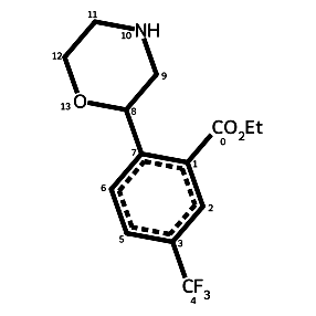 CCOC(=O)c1cc(C(F)(F)F)ccc1C1CNCCO1